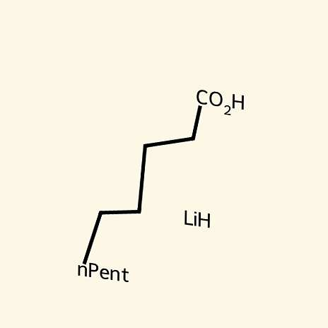 CCCCCCCCCC(=O)O.[LiH]